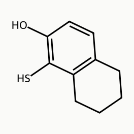 Oc1ccc2c(c1S)CCCC2